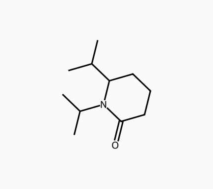 CC(C)C1CCCC(=O)N1C(C)C